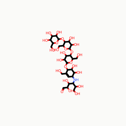 O=CC(O)C(O)C(NC1C=C(CO)C(OC2OC(CO)C(OC3OC(CO)C(OC4OC(CO)C(O)C(O)C4O)C(O)C3O)C(O)C2O)C(O)C1O)C(O)CO